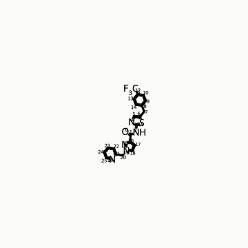 O=C(Nc1ncc(Cc2ccc(C(F)(F)F)cc2)s1)c1ccn(Cc2ccccn2)n1